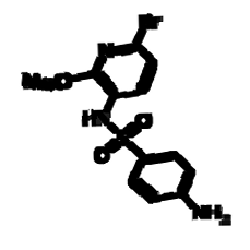 COc1nc(Br)ccc1NS(=O)(=O)c1ccc(N)cc1